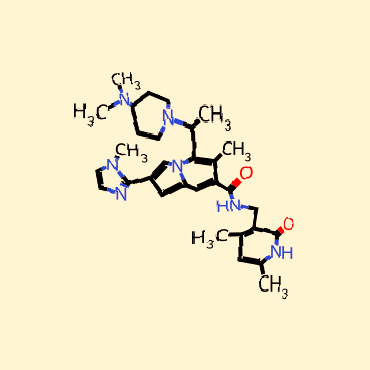 Cc1cc(C)c(CNC(=O)c2cc3cc(-c4nccn4C)cn3c(C(C)N3CCC(N(C)C)CC3)c2C)c(=O)[nH]1